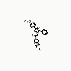 COc1ccc(-c2nc(-c3ccccc3)n(CC(=O)N3Cc4nc(C)sc4C3)n2)cc1